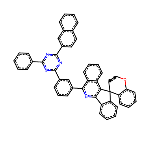 c1ccc(-c2nc(-c3cccc(-c4nc5c(c6ccccc46)C4(c6ccccc6Oc6ccccc64)c4ccccc4-5)c3)nc(-c3ccc4ccccc4c3)n2)cc1